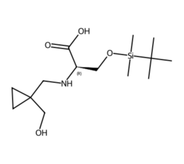 CC(C)(C)[Si](C)(C)OC[C@@H](NCC1(CO)CC1)C(=O)O